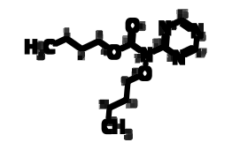 CCCCOC(=O)N(OCCCC)c1ncncn1